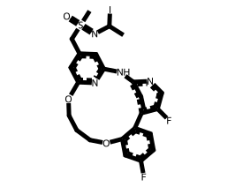 CC(I)N=S(C)(=O)Cc1cc2nc(c1)OCCCOc1cc(F)ccc1-c1cc(ncc1F)N2